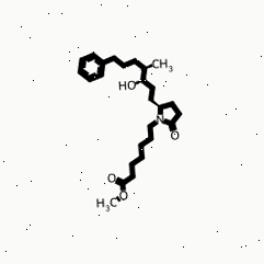 COC(=O)CCCCCCN1C(=O)CC[C@@H]1CC[C@@H](O)[C@H](C)CCCc1ccccc1